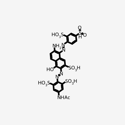 CC(=O)Nc1cc(S(=O)(=O)O)c(N=Nc2c(S(=O)(=O)O)cc3c(N=Nc4ccc([SH](=O)=O)cc4S(=O)(=O)O)c(N)ccc3c2O)c(S(=O)(=O)O)c1